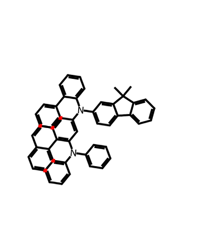 CC1(C)c2ccccc2-c2ccc(N(c3cc(N(c4ccccc4)c4ccccc4)c4c(ccc5ccccc54)c3)c3ccccc3-c3ccccc3)cc21